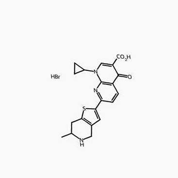 Br.CC1Cc2sc(-c3ccc4c(=O)c(C(=O)O)cn(C5CC5)c4n3)cc2CN1